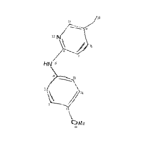 COc1ccc(Nc2ccc(C)cn2)cc1